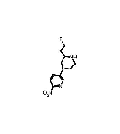 O=[N+]([O-])c1ccc(N2CCNC(CCF)C2)cn1